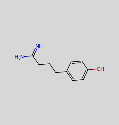 N=C(N)CCCc1ccc(O)cc1